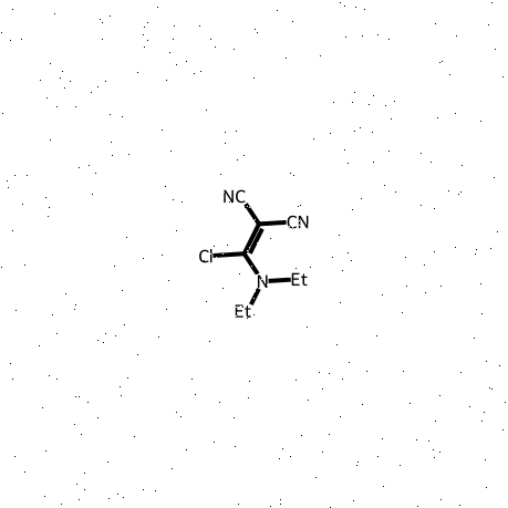 CCN(CC)C(Cl)=C(C#N)C#N